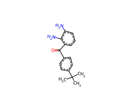 CC(C)(C)c1ccc(C(=O)c2cccc(N)c2N)cc1